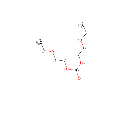 CCOCCOB([O])OCCOCC